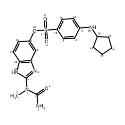 CN(C(N)=O)c1nc2cc(OS(=O)(=O)c3ccc(NC4CCCC4)cc3)ccc2[nH]1